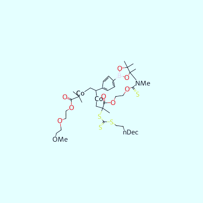 CCCCCCCCCCCCSC(=S)SC(C)([CH2][Co][CH]([CH2][Co][C](C)(C)C(=O)OCCOCCOC)c1ccc(B2OC(C)(C)C(C)(C)O2)cc1)C(=O)OCCOC(=S)NC